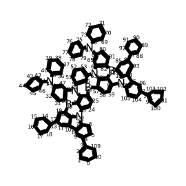 c1ccc(-c2ccc3c(c2)c2cc(-c4ccccc4)cc4c2n3-c2ccc3c5c2B4c2ccc(N(c4ccccc4)c4ccccc4)cc2N5c2cccc4c2B3c2ccc3c5c2N4c2cc(N(c4ccccc4)c4ccccc4)ccc2B5c2cc(-c4ccccc4)cc4c5cc(-c6ccccc6)ccc5n-3c24)cc1